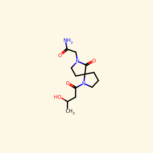 CC(O)CC(=O)N1CCCC12CCN(CC(N)=O)C2=O